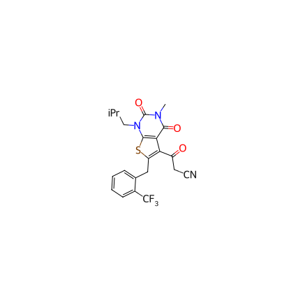 CC(C)Cn1c(=O)n(C)c(=O)c2c(C(=O)CC#N)c(Cc3ccccc3C(F)(F)F)sc21